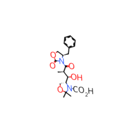 C[C@@H](C(=O)N1C(=O)OC[C@H]1Cc1ccccc1)[C@@H](O)[C@H]1COC(C)(C)N1C(=O)O